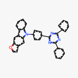 c1ccc(-c2nc(-c3ccccc3)nc(-c3ccc(-n4c5ccccc5c5cc6occc6cc54)cc3)n2)cc1